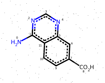 Nc1ncnc2cc(C(=O)O)ccc12